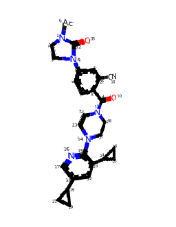 CC(=O)N1CCN(c2ccc(C(=O)N3CCN(c4ncc(C5CC5)cc4C4CC4)CC3)c(C#N)c2)C1=O